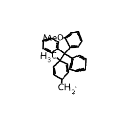 [CH2]C1C=CC(C)(C(c2ccccc2)(c2ccccc2)c2ccccc2OC)C=C1